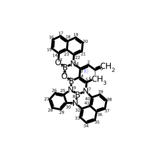 C=C/C=C1\C2=C(C)N3B4N(B2OB2Oc5cccc6cccc(c56)N21)c1ccccc1N4c1cccc2cccc3c12